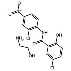 NCCO.O=C(Nc1ccc([N+](=O)[O-])cc1Cl)c1cc(Cl)ccc1O